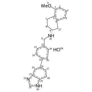 COc1cccc2c1CC[C@@H](NCc1ccc(-c3ccc4[nH]cnc4c3)cc1)C2.Cl